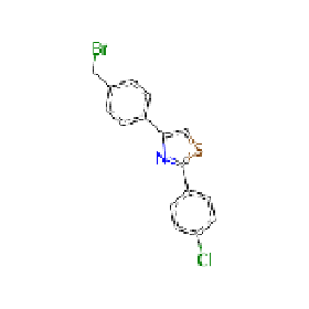 Clc1ccc(-c2nc(-c3ccc(CBr)cc3)cs2)cc1